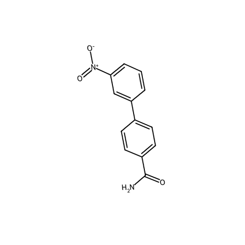 NC(=O)c1ccc(-c2cccc([N+](=O)[O-])c2)cc1